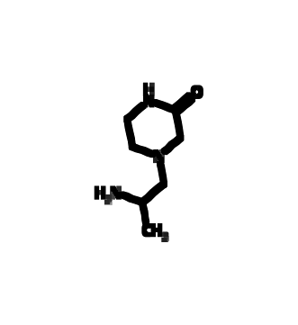 CC(N)CN1CCNC(=O)C1